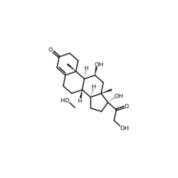 CO.C[C@]12CCC(=O)C=C1CC[C@@H]1[C@@H]2[C@@H](O)C[C@@]2(C)[C@H]1CC[C@]2(O)C(=O)CO